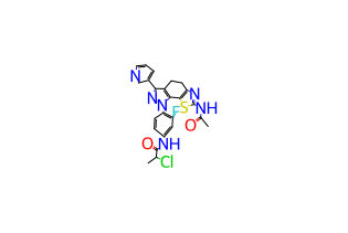 CC(=O)Nc1nc2c(s1)-c1c(c(-c3cccnc3)nn1-c1ccc(NC(=O)C(C)Cl)cc1F)CC2